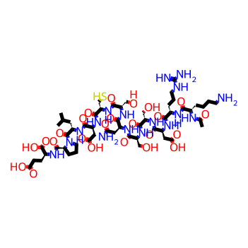 CC(=O)N[C@@H](CCCCN)C(=O)N[C@@H](CCCNC(=N)N)C(=O)N[C@@H](CC(=O)O)C(=O)N[C@@H](CO)C(=O)N[C@@H](CO)C(=O)N[C@@H](CC(N)=O)C(=O)N[C@@H](CO)C(=O)N[C@@H](CS)C(=O)N[C@@H](CC(=O)O)C(=O)N[C@@H](CC(C)C)C(=O)N1CCC[C@H]1C(=O)N[C@@H](CCC(=O)O)C(=O)O